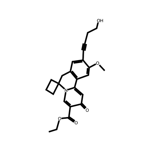 CCOC(=O)c1cn2c(cc1=O)-c1cc(OC)c(C#CCCO)cc1CC21CCC1